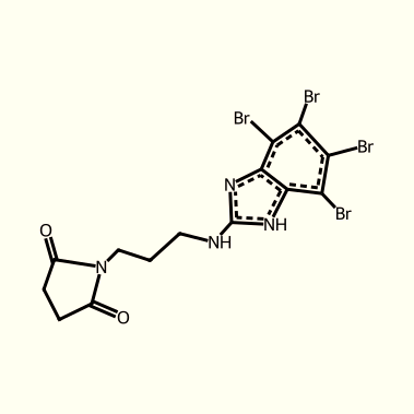 O=C1CCC(=O)N1CCCNc1nc2c(Br)c(Br)c(Br)c(Br)c2[nH]1